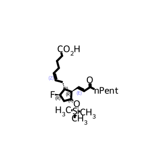 CCCCCC(=O)/C=C/[C@@H]1[C@@H](C/C=C\CCCC(=O)O)[C@H](F)C[C@H]1O[Si](C)(C)C